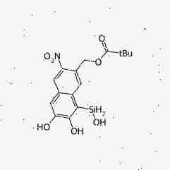 CC(C)(C)C(=O)OCc1cc2c([SiH2]O)c(O)c(O)cc2cc1[N+](=O)[O-]